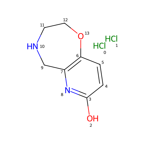 Cl.Cl.Oc1ccc2c(n1)CNCCO2